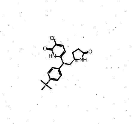 CC(C)(C)c1ccc(C(C[C@H]2CCC(=O)N2)c2ccc(Cl)c(=O)[nH]2)cc1